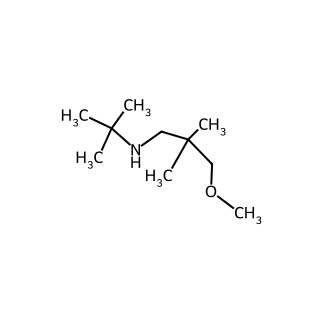 COCC(C)(C)CNC(C)(C)C